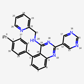 CC(C)c1ccc(-c2cccc3nc(-c4cncnc4)nc(NCc4ccccn4)c23)cc1